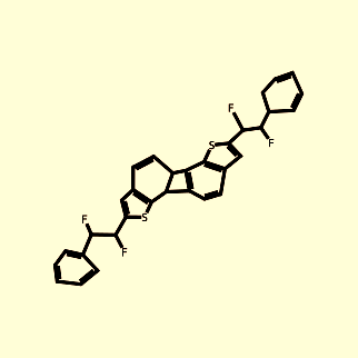 FC(c1ccccc1)C(F)c1cc2c(s1)C1c3ccc4cc(C(F)C(F)C5C=CC=CC5)sc4c3C1C=C2